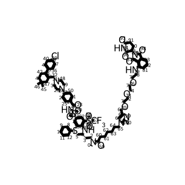 CN(CC[C@H](CSc1ccccc1)Nc1ccc(S(=O)(=O)NC(=O)c2ccc(N3CCN(CC4=C(c5ccc(Cl)cc5)CCC(C)(C)C4)CC3)cc2)cc1S(=O)(=O)C(F)(F)F)C(=O)CCCCCCn1cc(COCCOCCOCCNc2cccc3c2C(=O)N(C2CCC(=O)NC2=O)C3=O)nn1